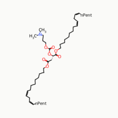 CCCCC/C=C\C/C=C\CCCCCCCCOC(=O)C[C@H](OC(=O)OCCCN(C)C)C(=O)OCCCCCCCC/C=C\C/C=C\CCCCC